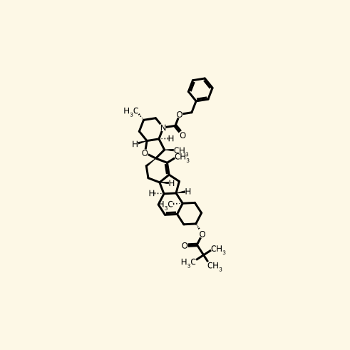 CC1=C2C[C@H]3[C@@H](CC=C4C[C@@H](OC(=O)C(C)(C)C)CC[C@@]43C)[C@@H]2CC[C@]12O[C@@H]1C[C@H](C)CN(C(=O)OCc3ccccc3)[C@H]1[C@H]2C